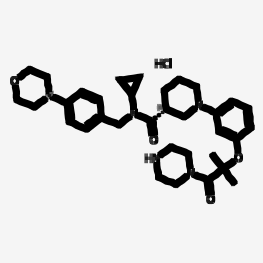 CC(C)(Oc1cccc(N2CCC[C@@H](C(=O)N(Cc3ccc(N4CCOCC4)cc3)C3CC3)C2)c1)C(=O)N1CCNCC1.Cl